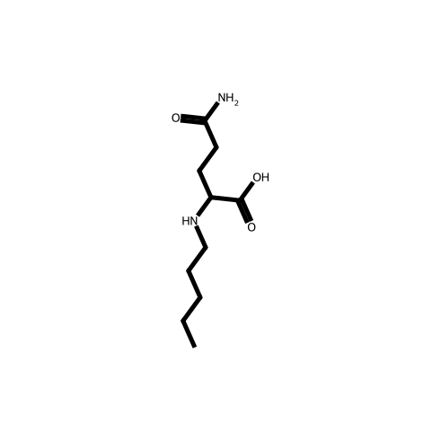 CCCCCNC(CCC(N)=O)C(=O)O